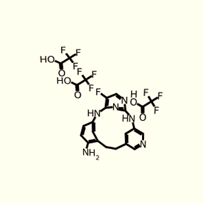 Nc1ccc2cc1CCc1cncc(c1)Nc1ncc(F)c(n1)N2.O=C(O)C(F)(F)F.O=C(O)C(F)(F)F.O=C(O)C(F)(F)F